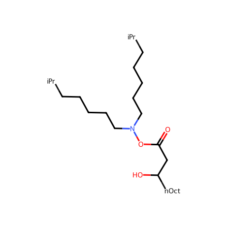 CCCCCCCCC(O)CC(=O)ON(CCCCCC(C)C)CCCCCC(C)C